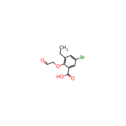 CCc1cc(Br)cc(C(=O)O)c1OCC=O